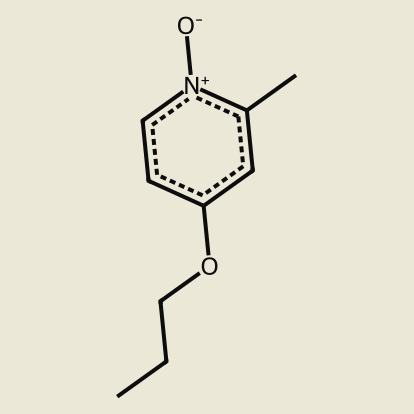 CCCOc1cc[n+]([O-])c(C)c1